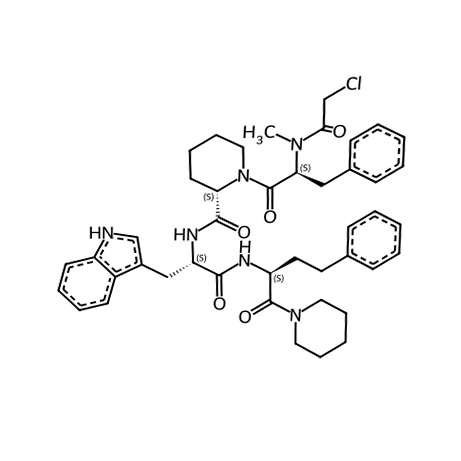 CN(C(=O)CCl)[C@@H](Cc1ccccc1)C(=O)N1CCCC[C@H]1C(=O)N[C@@H](Cc1c[nH]c2ccccc12)C(=O)N[C@@H](CCc1ccccc1)C(=O)N1CCCCC1